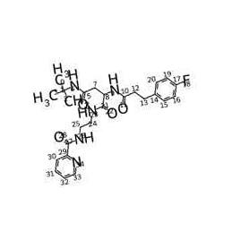 CC(C)(C)NC(=O)CC(NC(=O)CCc1ccc(F)cc1)C(=O)NCCNC(=O)c1ccccn1